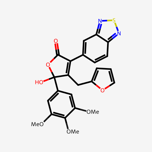 COc1cc(C2(O)OC(=O)C(c3ccc4nsnc4c3)=C2Cc2ccco2)cc(OC)c1OC